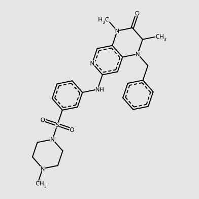 CC1C(=O)N(C)c2cnc(Nc3cccc(S(=O)(=O)N4CCN(C)CC4)c3)cc2N1Cc1ccccc1